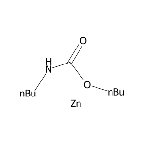 CCCCNC(=O)OCCCC.[Zn]